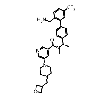 C[C@@H](NC(=O)c1cncc(N2CCN(CC3COC3)CC2)c1)c1ccc(-c2cc(C(F)(F)F)ccc2CN)cc1